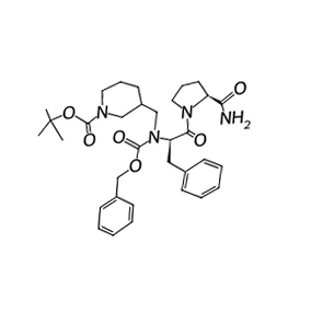 CC(C)(C)OC(=O)N1CCCC(CN(C(=O)OCc2ccccc2)[C@H](Cc2ccccc2)C(=O)N2CCC[C@H]2C(N)=O)C1